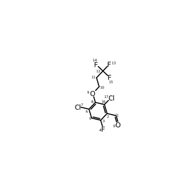 O=[C]c1c(F)cc(Cl)c(OCCC(F)(F)F)c1Cl